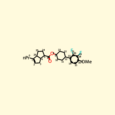 CCCC1=CCC2C(C(=O)OC3CCC(c4ccc(OC)c(F)c4F)CC3)CCC12